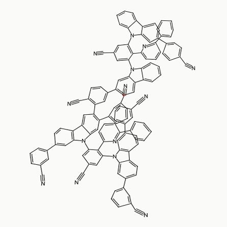 N#Cc1ccc(-c2ccc3c4ccccc4n(-c4cc(C#N)cc(-n5c6ccccc6c6ccc(-c7ccc(C#N)c(-c8cc9c%10ccc(-c%11cccc(C#N)c%11)cc%10n(-c%10cc(C#N)cc(-n%11c%12cc(-c%13cccc(C#N)c%13)ccc%12c%12ccc(-c%13cccc(C#N)c%13)cc%12%11)c%10-c%10cccc(-c%11ccccc%11)n%10)c9cc8-c8cccc(C#N)c8)c7)cc65)c4-c4cccc(-c5ccccc5)n4)c3c2)cc1